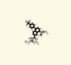 CC(C)NC(=O)c1ccc2c(-c3ccc(C(F)(F)F)cc3)ccc([S+](C)[O-])c2c1